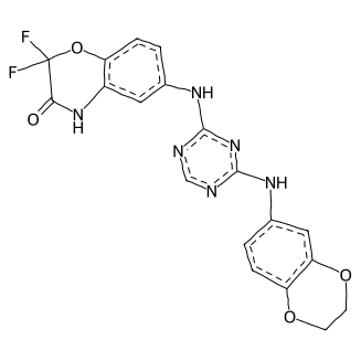 O=C1Nc2cc(Nc3ncnc(Nc4ccc5c(c4)OCCO5)n3)ccc2OC1(F)F